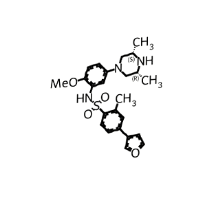 COc1ccc(N2C[C@@H](C)N[C@@H](C)C2)cc1NS(=O)(=O)c1ccc(-c2ccoc2)cc1C